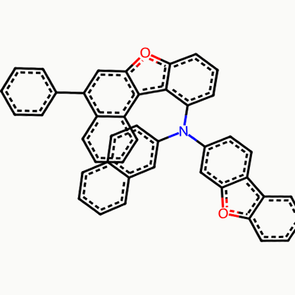 c1ccc(-c2cc3oc4cccc(N(c5ccc6ccccc6c5)c5ccc6c(c5)oc5ccccc56)c4c3c3ccccc23)cc1